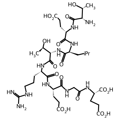 CC(C)C[C@H](NC(=O)[C@H](CCC(=O)O)NC(=O)[C@@H](N)[C@@H](C)O)C(=O)N[C@H](C(=O)N[C@@H](CCCNC(=N)N)C(=O)N[C@@H](CCC(=O)O)C(=O)NCC(=O)N[C@@H](CCC(=O)O)C(=O)O)[C@@H](C)O